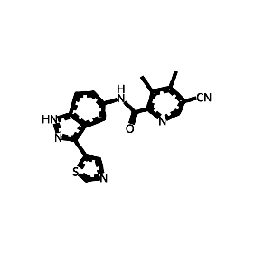 Cc1c(C#N)cnc(C(=O)Nc2ccc3[nH]nc(-c4cncs4)c3c2)c1C